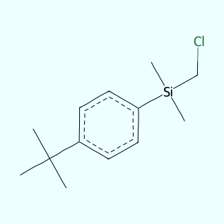 CC(C)(C)c1ccc([Si](C)(C)CCl)cc1